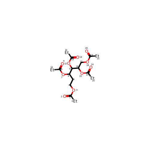 CCC(=O)OCCC(OC(=O)CC)C(OC(=O)CC)C(COC(=O)CC)OC(=O)CC